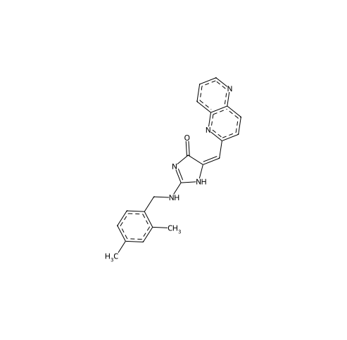 Cc1ccc(CNC2=NC(=O)C(=Cc3ccc4ncccc4n3)N2)c(C)c1